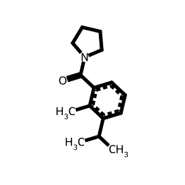 Cc1c(C(=O)N2CCCC2)cccc1C(C)C